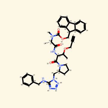 C#CCOC(C)[C@H](NC(=O)[C@H](C)N(C)C(=O)OCC1c2ccccc2-c2ccccc21)C(=O)N1CCC[C@H]1Cn1nnnc1NCc1ccccc1